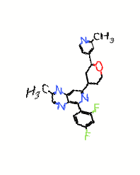 Cc1cc(C2CC(c3cc4nc(C)cnc4c(-c4ccc(F)cc4F)n3)CCO2)ccn1